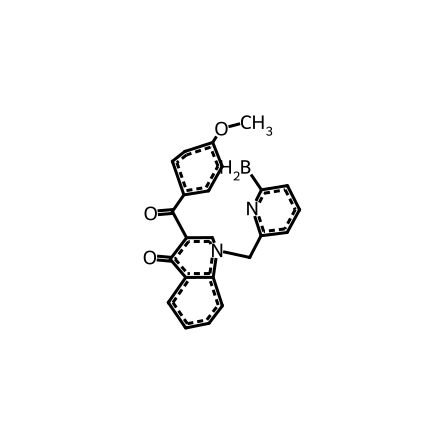 Bc1cccc(Cn2cc(C(=O)c3ccc(OC)cc3)c(=O)c3ccccc32)n1